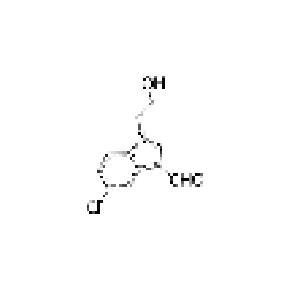 O=Cc1cn(CCO)c2ccc(Cl)cc12